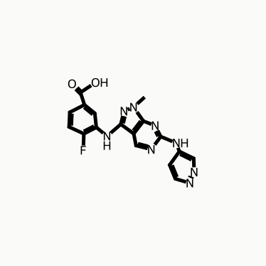 Cn1nc(Nc2cc(C(=O)O)ccc2F)c2cnc(Nc3ccnnc3)nc21